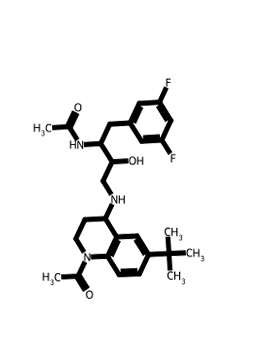 CC(=O)NC(Cc1cc(F)cc(F)c1)C(O)CNC1CCN(C(C)=O)c2ccc(C(C)(C)C)cc21